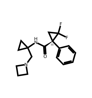 O=C(NC1(CN2CCC2)CC1)[C@@]1(c2ccccc2)CC1(F)F